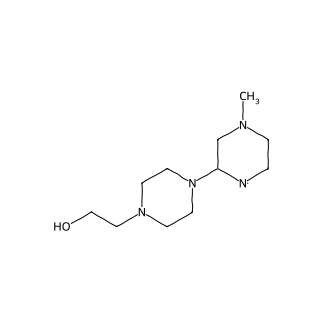 CN1CC[N]C(N2CCN(CCO)CC2)C1